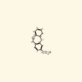 O=C(O)c1ccc2c(c1)SC1CC=CC=C1OC2